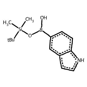 CC(C)(C)[Si](C)(C)OB(O)c1ccc2[nH]ccc2c1